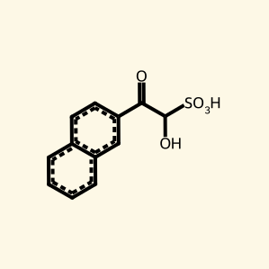 O=C(c1ccc2ccccc2c1)C(O)S(=O)(=O)O